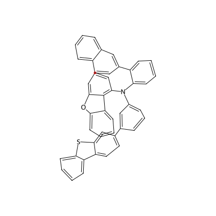 c1cc(-c2ccc3c(c2)sc2ccccc23)cc(N(c2ccccc2-c2ccc3ccccc3c2)c2cccc3oc4ccccc4c23)c1